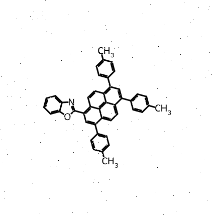 Cc1ccc(-c2cc(-c3ccc(C)cc3)c3ccc4c(-c5nc6ccccc6o5)cc(-c5ccc(C)cc5)c5ccc2c3c54)cc1